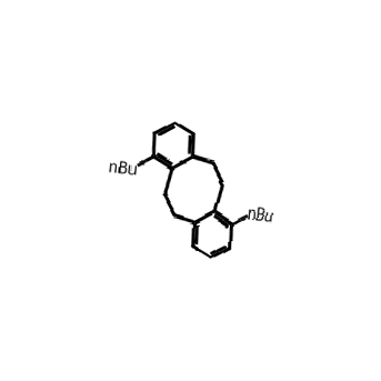 CCCCc1cccc2c1CCc1cccc(CCCC)c1CC2